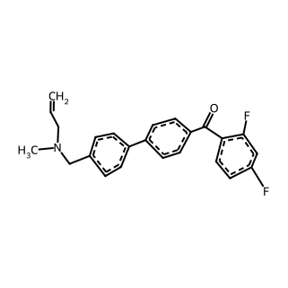 C=CCN(C)Cc1ccc(-c2ccc(C(=O)c3ccc(F)cc3F)cc2)cc1